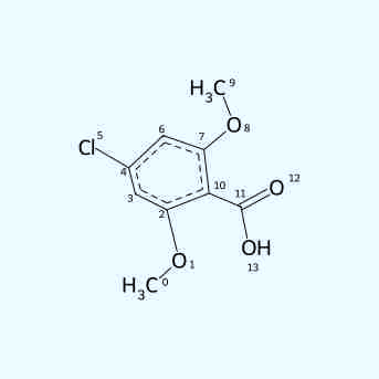 COc1cc(Cl)cc(OC)c1C(=O)O